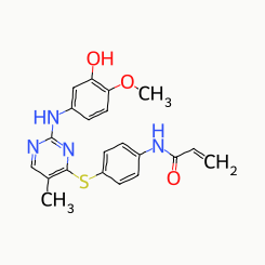 C=CC(=O)Nc1ccc(Sc2nc(Nc3ccc(OC)c(O)c3)ncc2C)cc1